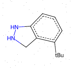 CC(C)(C)c1cccc2c1CNN2